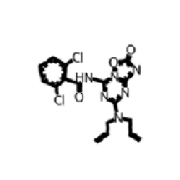 C=CCN(CC=C)c1nc(NC(=O)c2c(Cl)cccc2Cl)n2oc(=O)nc2n1